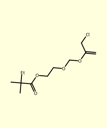 C=C(CCl)OCOCCOC(=O)C(C)(C)CC